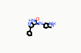 O=C1Nc2ncc(-c3ccccc3)cc2/C1=C/Nc1ccc2cn[nH]c2c1